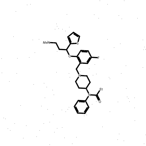 CCC(=O)N(c1ccccc1)C1CCN(Cc2cc(F)ccc2OC(CCNC)c2cccs2)CC1